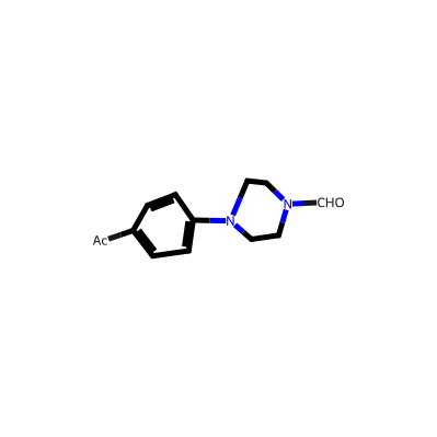 CC(=O)c1ccc(N2CCN(C=O)CC2)cc1